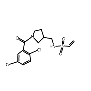 C=CS(=O)(=O)NCC1CCN(C(=O)c2cc(Cl)ccc2Cl)C1